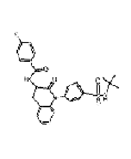 CC(C)(C)NS(=O)(=O)c1ccc(N2C(=O)C(NC(=O)c3ccc(F)cc3)Cc3ccccc32)cc1